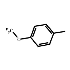 Cc1c[c]c(OC(F)(F)F)cc1